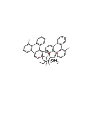 C[CH2][Hf]([CH3])([CH3])(=[SiH2])([CH2]C)([CH]1C=Cc2c(-c3ccccc3-c3c(C)cccc3C)cccc21)[CH]1C=Cc2c(-c3ccccc3-c3c(C)cccc3C)cccc21